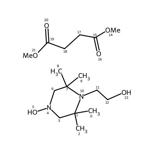 CC1(C)CN(O)CC(C)(C)N1CCO.COC(=O)CCC(=O)OC